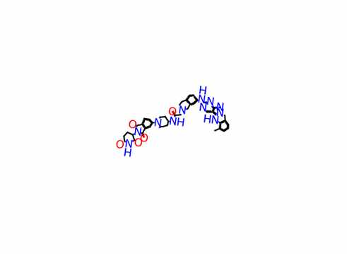 Cc1cccc(C)c1Nc1nn(C)c2nc(Nc3ccc4c(c3)CN(CC(=O)NC3CCN(c5ccc6c(c5)C(=O)N(C5CCC(=O)NC5=O)C6=O)CC3)CC4)ncc12